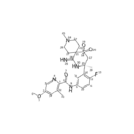 COc1cnc(C(=O)Nc2ccc(F)c([C@]3(C)CS(=O)(=O)C4(CCN(C)CC4)C(=N)N3)c2)c(C)c1